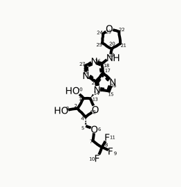 OC1C(O)[C@@H](COCC(F)(F)F)O[C@H]1n1cnc2c(NC3CCOCC3)ncnc21